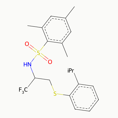 Cc1cc(C)c(S(=O)(=O)NC(CSc2ccccc2C(C)C)C(F)(F)F)c(C)c1